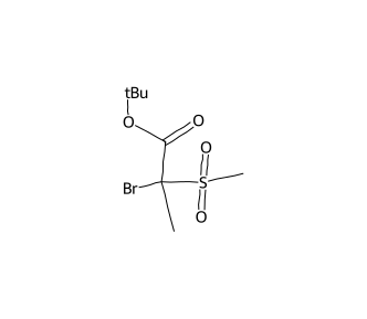 CC(C)(C)OC(=O)C(C)(Br)S(C)(=O)=O